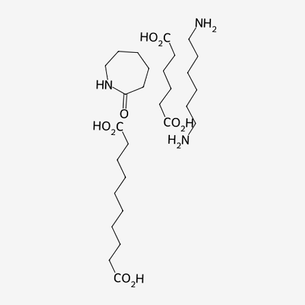 NCCCCCCN.O=C(O)CCCCC(=O)O.O=C(O)CCCCCCCCC(=O)O.O=C1CCCCCN1